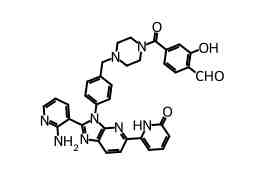 Nc1ncccc1-c1nc2ccc(-c3cccc(=O)[nH]3)nc2n1-c1ccc(CN2CCN(C(=O)c3ccc(C=O)c(O)c3)CC2)cc1